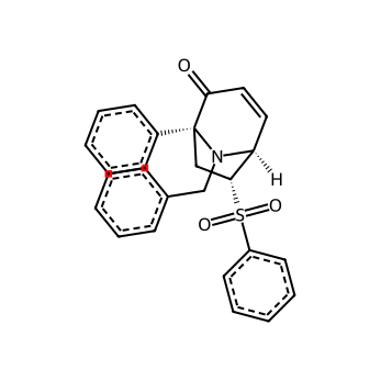 O=C1C=C[C@H]2[C@H](S(=O)(=O)c3ccccc3)C[C@]1(c1ccccc1)N2Cc1ccccc1